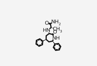 C[C@H](N[C@H]1C[C@H](c2ccccc2)C[C@H](c2ccccc2)NC1=O)C(N)=O